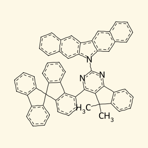 CC1(C)c2ccccc2-c2nc(-n3c4cc5ccccc5cc4c4cc5ccccc5cc43)nc(-c3cccc4c3-c3ccccc3C43c4ccccc4-c4ccccc43)c21